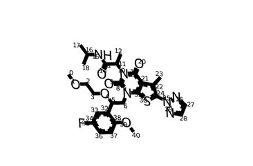 COCCOC(Cn1c(=O)n(C(C)C(=O)NC(C)C)c(=O)c2c(C)c(-n3nccn3)sc21)c1cc(F)ccc1OC